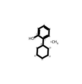 C.Oc1ccccc1C1CCCCC1